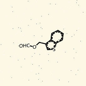 O=[C]OCc1csc2ccccc12